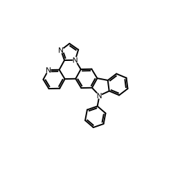 c1ccc(-n2c3ccccc3c3cc4c(cc32)c2cccnc2c2nccn42)cc1